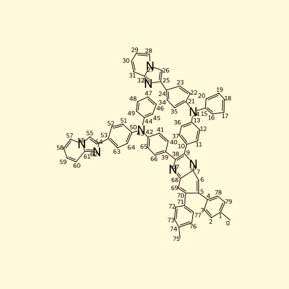 Cc1ccc(-c2cc3nc(-c4ccc(N(c5ccccc5)c5ccc(-c6cn7ccccc7n6)cc5)cc4)c(-c4ccc(N(c5ccccc5)c5ccc(-c6cn7ccccc7n6)cc5)cc4)nc3cc2-c2ccc(C)cc2)cc1